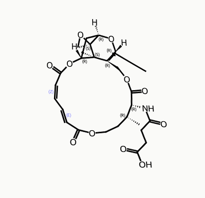 CC1=C[C@H]2O[C@@H]3C[C@H]4OC(=O)/C=C\C=C\C(=O)OCC[C@@H](C)[C@@H](NC(=O)CCC(=O)O)C(=O)OC[C@@]2(CC1)[C@]4(C)[C@]31CO1